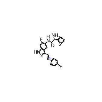 NC(C(=O)Nc1cc2c(/C=C/c3ccc(F)cc3)n[nH]c2cc1F)c1cccs1